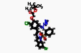 CC(C)(C)OC(=O)COc1cc(N=[N+]=[N-])c(/C=C/c2cc3ccc(Br)cc3n2S(=O)(=O)c2ccccc2)cc1Cl